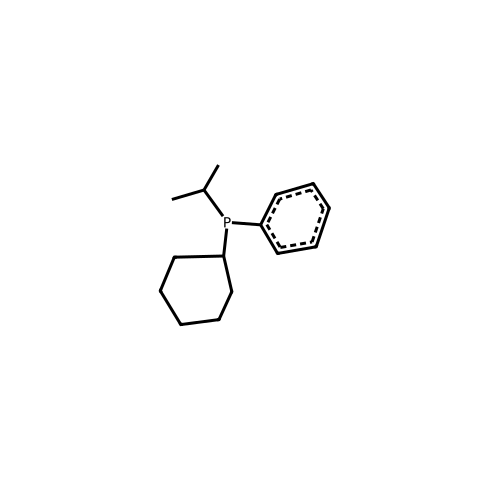 CC(C)P(c1ccccc1)C1CCCCC1